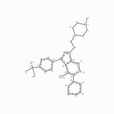 CN1CCN(CCn2nc(-c3ccc(C(C)(F)F)cc3)c3c(Cl)c(-c4ccccc4)nnc32)CC1